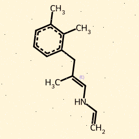 C=CN/C=C(\C)Cc1cccc(C)c1C